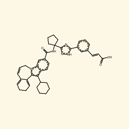 O=C(O)/C=C/c1cccc(-c2nc(C3(NC(=O)c4ccc5c(C6CCCCC6)c6n(c5c4)CC=CC4=CCCC=C46)CCCC3)n[nH]2)c1